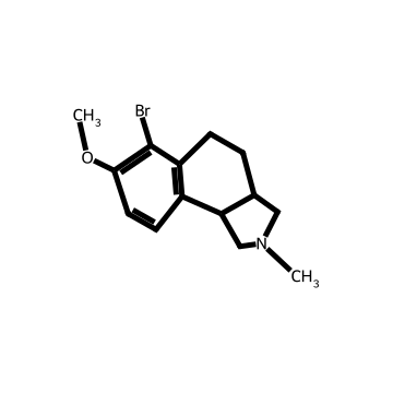 COc1ccc2c(c1Br)CCC1CN(C)CC21